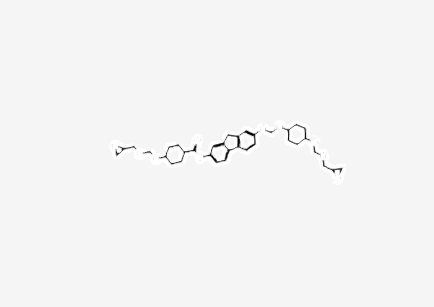 O=C(Oc1ccc2c(c1)Cc1cc(OCOC3CCC(OCOCC4CO4)CC3)ccc1-2)C1CCC(OCOCC2CO2)CC1